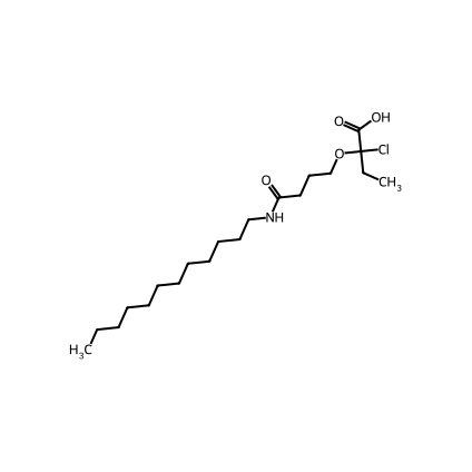 CCCCCCCCCCCCNC(=O)CCCOC(Cl)(CC)C(=O)O